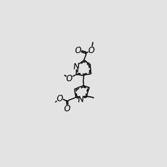 COC(=O)c1cc(-c2ccc(C(=O)OC)nc2OC)cc(C)n1